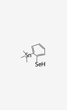 [CH3][Sn]([CH3])([CH3])[c]1ccccc1[SeH]